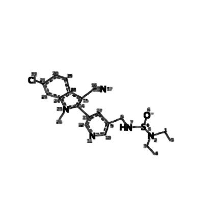 CCN(CC)[S+]([O-])NCc1cncc(-c2c(C#N)c3ccc(Cl)cc3n2C)c1